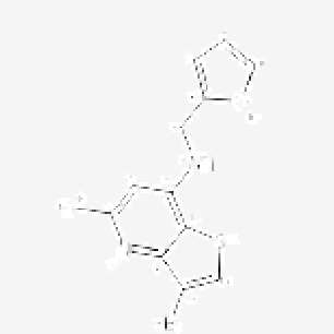 Clc1cc(NCc2ccco2)c2scc(Br)c2n1